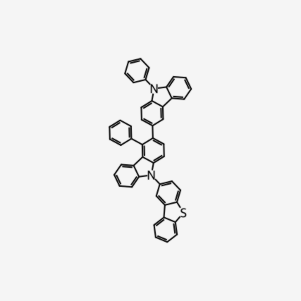 c1ccc(-c2c(-c3ccc4c(c3)c3ccccc3n4-c3ccccc3)ccc3c2c2ccccc2n3-c2ccc3sc4ccccc4c3c2)cc1